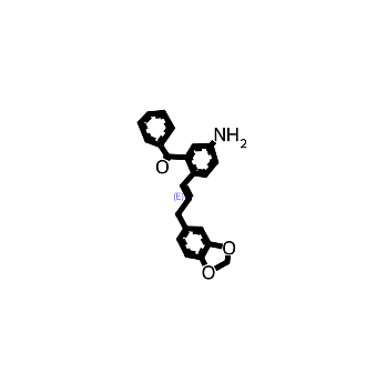 Nc1ccc(/C=C/Cc2ccc3c(c2)OCO3)c(C(=O)c2ccccc2)c1